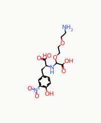 NCCOCCOC(N[C@@H](Cc1ccc(O)c([N+](=O)[O-])c1)C(=O)O)C(=O)O